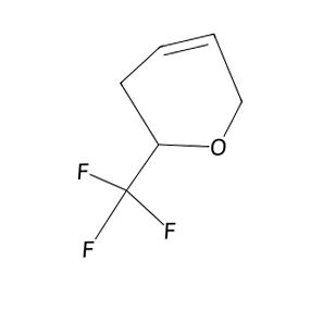 FC(F)(F)C1CC=CCO1